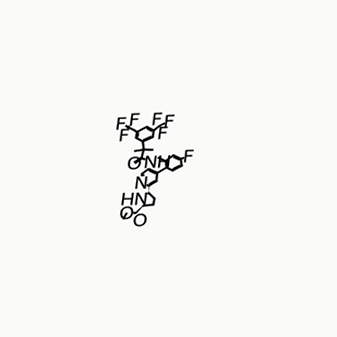 COC(=O)[C@@H]1CC[C@@H](c2cc(-c3ccc(F)cc3C)c(NC(=O)C(C)(C)c3cc(C(F)(F)F)cc(C(F)(F)F)c3)cn2)N1